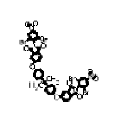 CC(C)(c1ccc(Oc2ccc3c(c2)C(=O)N(c2c(Br)cc([N+](=O)[O-])cc2Br)C3=O)cc1)c1ccc(Oc2ccc3c(c2)C(=O)N(c2c(Br)cc([N+](=O)[O-])cc2Br)C3=O)cc1